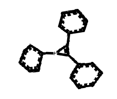 c1ccc(C2=C(c3ccccc3)P2c2ccccc2)cc1